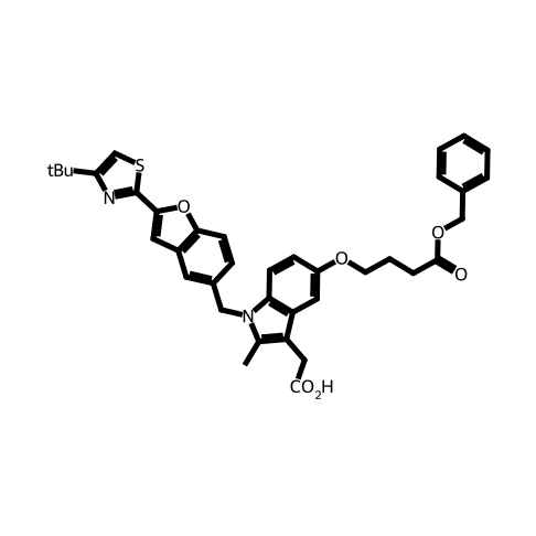 Cc1c(CC(=O)O)c2cc(OCCCC(=O)OCc3ccccc3)ccc2n1Cc1ccc2oc(-c3nc(C(C)(C)C)cs3)cc2c1